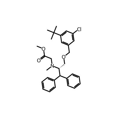 COC(=O)CN(C)[C@H](COCc1cc(Cl)cc(C(C)(C)C)c1)C(c1ccccc1)c1ccccc1